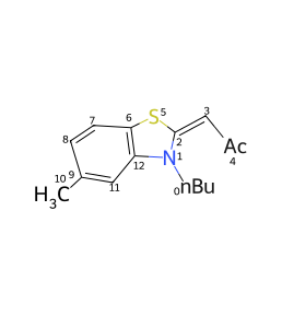 CCCCN1C(=CC(C)=O)Sc2ccc(C)cc21